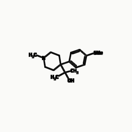 CSc1ccc(C2(C(C)(C)O)CCN(C)CC2)cc1